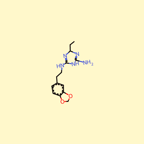 CCC1N=C(N)NC(NCCc2ccc3c(c2)OCO3)=N1